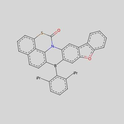 CC(C)c1cccc(C(C)C)c1B1c2cc3oc4ccccc4c3cc2N2C(=O)Sc3cccc4ccc1c2c34